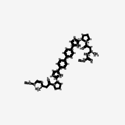 COO/C=N\[C@@H](C)CC(=O)N1CCC[C@H]1c1ncc(-c2ccc(-c3ccc(-c4cnc([C@@H]5CCCN5C(=O)C[C@H](C)NC(=O)OC)[nH]4)cc3)cc2)[nH]1